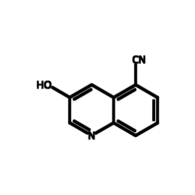 N#Cc1cccc2ncc(O)cc12